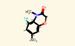 CN1C(=O)COc2cc([N+](=O)[O-])cc(F)c21